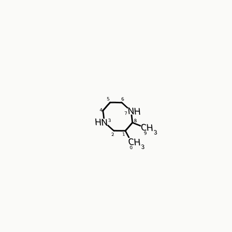 CC1CNCCCNC1C